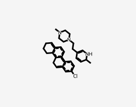 CC1C=CC(CCN2CCN(C)CC2)=CN1.Clc1ccc2c(c1)=CCc1c3c(ccc1=2)=CCCC3